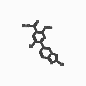 CCc1cn2cc(-c3nc(OC)c(C(=O)OC)cc3CC)ccc2n1